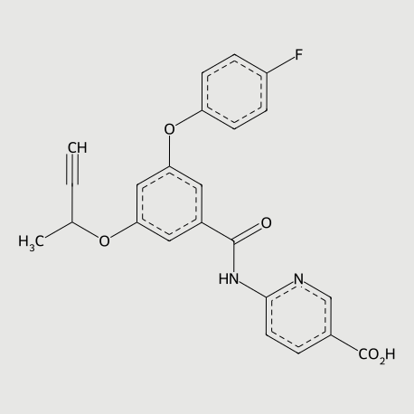 C#CC(C)Oc1cc(Oc2ccc(F)cc2)cc(C(=O)Nc2ccc(C(=O)O)cn2)c1